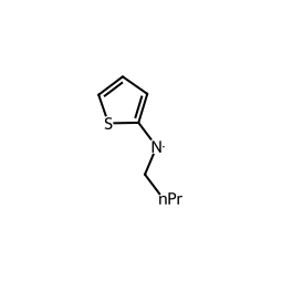 CCCC[N]c1cccs1